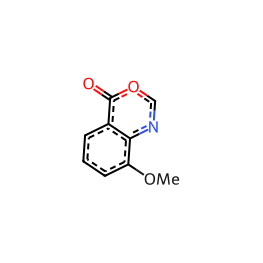 COc1cccc2c(=O)ocnc12